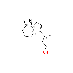 C[C@H](CCO)C1=CC[C@H]2[C@H](C)CCC[C@]12C